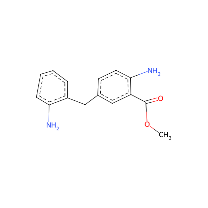 COC(=O)c1cc(Cc2ccccc2N)ccc1N